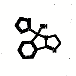 OC1(c2cccs2)c2ccccc2C2=NCCN21